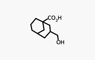 O=C(O)C12CCCC(CC(CO)C1)C2